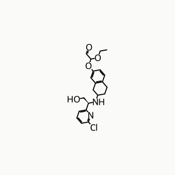 CCOC(C=O)Oc1ccc2c(c1)CC(N[C@H](CO)c1cccc(Cl)n1)CC2